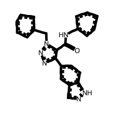 O=C(Nc1ccccc1)c1c(-c2ccc3[nH]ncc3c2)nnn1Cc1ccccc1